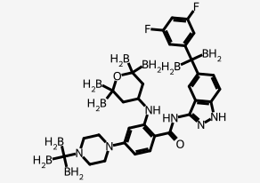 BC1(B)CC(Nc2cc(N3CCN(C(B)(B)B)CC3)ccc2C(=O)Nc2n[nH]c3ccc(C(B)(B)c4cc(F)cc(F)c4)cc23)CC(B)(B)O1